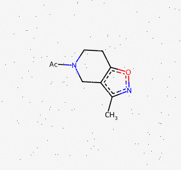 CC(=O)N1CCc2onc(C)c2C1